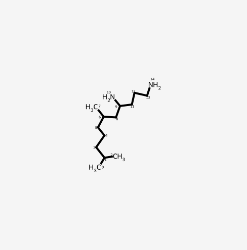 CC(C)CCCC(C)CC(N)CCCN